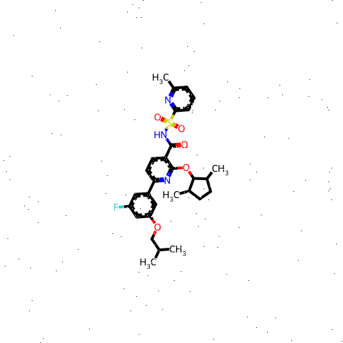 Cc1cccc(S(=O)(=O)NC(=O)c2ccc(-c3cc(F)cc(OCC(C)C)c3)nc2OC2C(C)CCC2C)n1